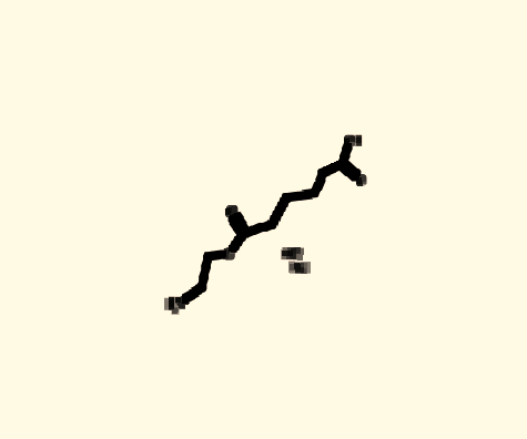 Cl.Cl.NCCOC(=O)CCCCC(=O)O